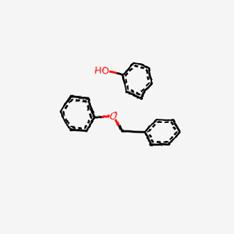 Oc1ccccc1.c1ccc(COc2ccccc2)cc1